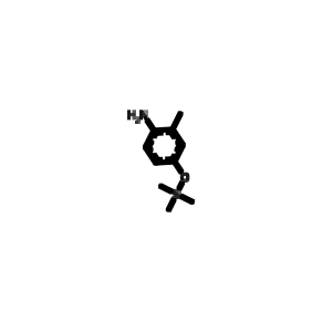 Cc1cc(O[Si](C)(C)C)ccc1N